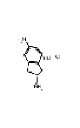 Cl.Cl.Nc1ccc2c(c1)CC(N)C2